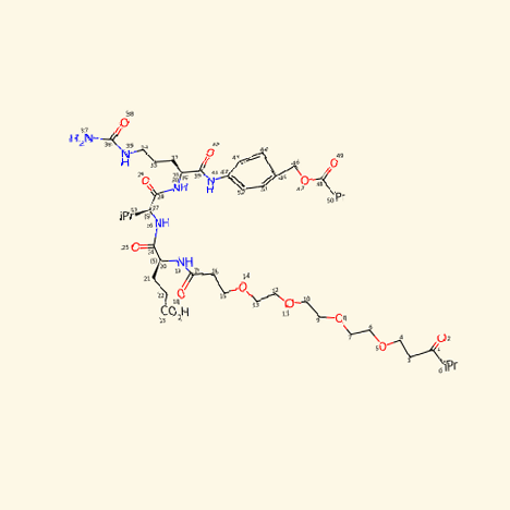 CC(C)C(=O)CCOCCOCCOCCOCCC(=O)N[C@@H](CCC(=O)O)C(=O)N[C@H](C(=O)N[C@@H](CCCNC(N)=O)C(=O)Nc1ccc(COC(=O)C(C)C)cc1)C(C)C